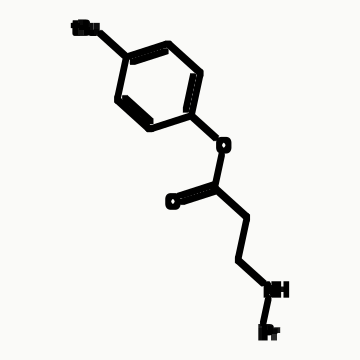 CC(C)NCCC(=O)Oc1ccc(C(C)(C)C)cc1